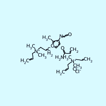 C=CC(N)=O.C=CC[N+](C)(C)CC=C.C=CC[N+](C)(C)CC=C.Cc1occc1N=C=O.[Cl-].[Cl-]